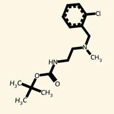 CN(CCNC(=O)OC(C)(C)C)Cc1ccccc1Cl